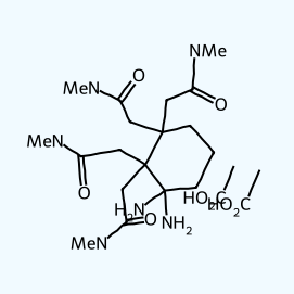 CC(=O)O.CC(=O)O.CNC(=O)CC1(CC(=O)NC)CCCC(N)(N)C1(CC(=O)NC)CC(=O)NC